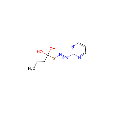 CCCC(O)(O)S/N=N/c1ncccn1